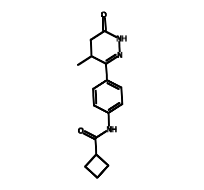 CC1CC(=O)NN=C1c1ccc(NC(=O)C2CCC2)cc1